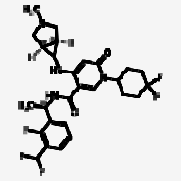 C[C@@H](NC(=O)c1cn(C2CCC(F)(F)CC2)c(=O)cc1NC1[C@H]2CN(C)C[C@@H]12)c1cccc(C(F)F)c1F